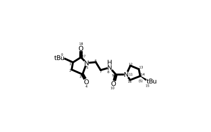 CC(C)(C)C1CC(=O)N(CCNC(=O)N2CC[C@@H](C(C)(C)C)C2)C1=O